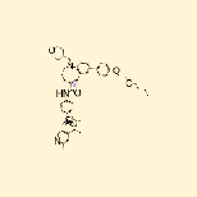 CCCCOCCOc1ccc(-c2ccc3c(c2)/C=C(/C(=O)Nc2ccc([S@@+]([O-])Cc4cnc(C)cc4CC)cc2)CCCN3CC2CCOCC2)cc1